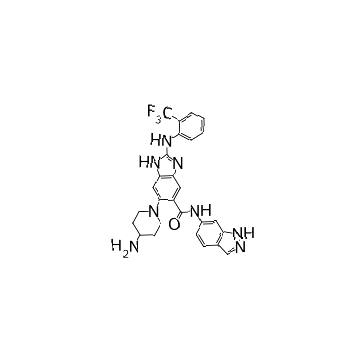 NC1CCN(c2cc3[nH]c(Nc4ccccc4C(F)(F)F)nc3cc2C(=O)Nc2ccc3cn[nH]c3c2)CC1